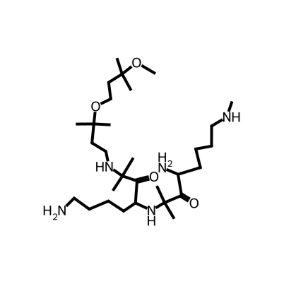 CNCCCCC(N)C(=O)C(C)(C)NC(CCCCN)C(=O)C(C)(C)NCCC(C)(C)OCCC(C)(C)OC